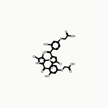 O=C(O)CSc1ccc(C(=O)c2[nH]c(Cl)c(Cl)c2-n2c(C(=O)c3ccc(SCC(=O)O)cc3O)cc(Cl)c2Cl)c(O)c1